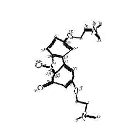 CN(C)CCOC1=CC(=O)C2C(=C1)c1cc(OCCN(C)C)ccc1[S+]2[O-]